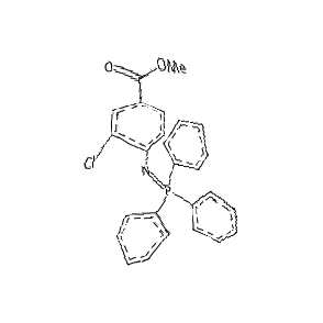 COC(=O)c1ccc(N=P(c2ccccc2)(c2ccccc2)c2ccccc2)c(Cl)c1